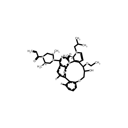 C=CC(=O)N1C[C@H](C)N(c2nc(=O)n3c4nc(c(F)cc24)-c2c(F)cccc2OCC(O)C(OCC)C2=C3[C@@H](C)N(CC(C)C)C=C2)C[C@H]1C